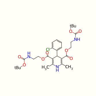 CC1=C(C(=O)OCCNC(=O)OC(C)(C)C)C(c2ccccc2Cl)C(C(=O)OCCNC(=O)OC(C)(C)C)=C(C)N1